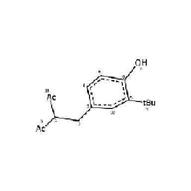 CC(=O)C(Cc1ccc(O)c(C(C)(C)C)c1)C(C)=O